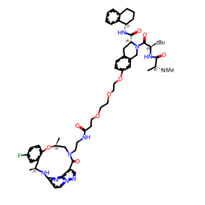 CN[C@H](C)C(=O)N[C@@H](C(=O)N1Cc2cc(OCCOCCOCCC(=O)NCCN3C[C@H](C)Oc4ccc(F)cc4[C@H](C)Nc4ccn5ncc(c5n4)C3=O)ccc2C[C@@H]1C(=O)N[C@H]1CCCc2ccccc21)C(C)(C)C